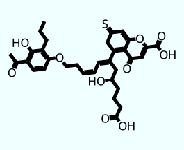 CCCc1c(OCC/C=C\C=C(/C[C@H](O)CCCC(=O)O)C2=c3c(=O)cc(C(=O)O)oc3=CC(=S)C2)ccc(C(C)=O)c1O